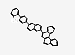 N#Cc1ccccc1-c1ccc(-c2ccc3cc(-c4cc5ccc6ccccc6c5c5ccccc45)ccc3c2)cc1